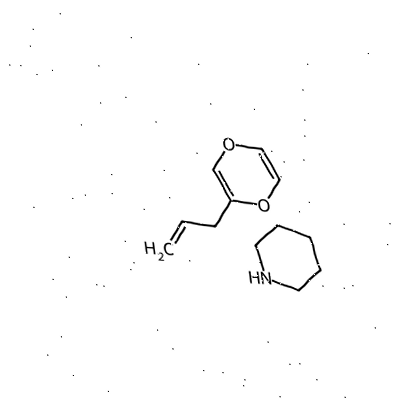 C1CCNCC1.C=CCC1=COC=CO1